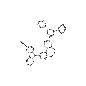 N#Cc1ccc2c(c1)c1ccccc1n2-c1ccc2c(c1)-c1ccc(-c3cc(-c4cccnc4)cc(-c4cccnc4)c3)cc1COC2